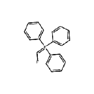 FC=P(c1ccccc1)(c1ccccc1)c1ccccc1